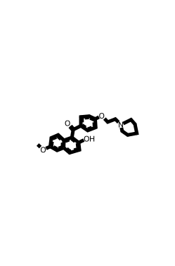 COc1ccc2c(C(=O)c3ccc(OCCN4CCCCC4)cc3)c(O)ccc2c1